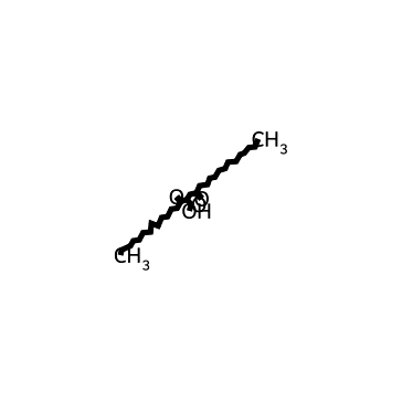 CCCCCCCCCCCCCC(=O)CC(C(=O)O)C(=O)CCCCCCCCCCCCC